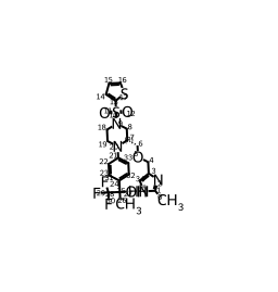 Cc1nc(COC[C@H]2CN(S(=O)(=O)c3cccs3)CCN2c2ccc(C(C)(O)C(F)(F)F)cc2)c[nH]1